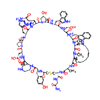 C[C@@H]1NC(=O)[C@@H]2CCCC/C=C\CCCC[C@@H](C(=O)N2C)N(C)C(=O)[C@H](Cc2c[nH]c3ccccc23)NC(=O)[C@H](CO)NC(=O)[C@H](Cc2c[nH]c3ccccc23)NC(=O)[C@@H]2C[C@@H](O)CN2C(=O)[C@H](CCC(N)=O)NC(=O)[C@H](Cc2cnc[nH]2)NC(=O)[C@@H]2CCCN2C(=O)[C@H](CC(=O)O)NC(=O)[C@@H]2CNCCN2C(=O)C(Cc2ccc(O)cc2)NC(=O)CSC[C@@H](C(=O)NCC(N)=O)NC1=O